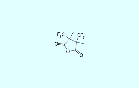 CC1(C(F)(F)F)C(=O)OC(=O)C1(C)C(F)(F)F